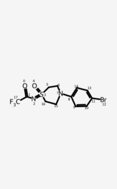 O=C(N=S1(=O)CCN(c2ccc(Br)cc2)CC1)C(F)(F)F